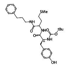 CSCCC(NC(=O)[C@H](Cc1ccc(O)cc1)NC(=O)OC(C)(C)C)C(=O)NCCCc1ccccc1